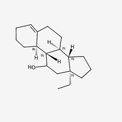 CC[C@@]12CCC[C@H]1[C@@H]1CCC3=CCCC[C@@H]3[C@H]1C(O)C2